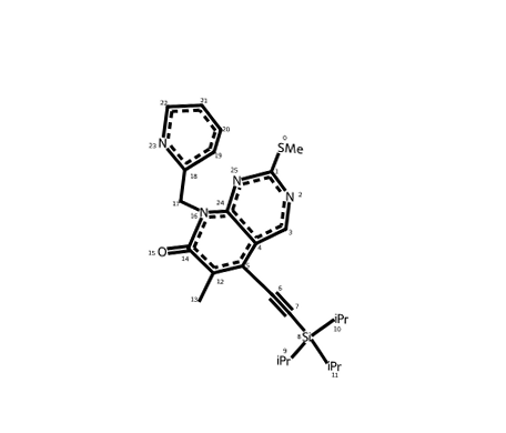 CSc1ncc2c(C#C[Si](C(C)C)(C(C)C)C(C)C)c(C)c(=O)n(Cc3ccccn3)c2n1